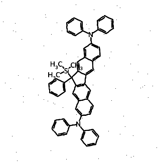 C[Si](C)(C)C1(c2ccccc2)c2cc3cc(N(c4ccccc4)c4ccccc4)ccc3cc2-c2cc3ccc(N(c4ccccc4)c4ccccc4)cc3cc21